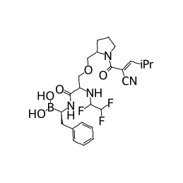 CC(C)C=C(C#N)C(=O)N1CCCC1COCC(NC(F)C(F)F)C(=O)N[C@@H](Cc1ccccc1)B(O)O